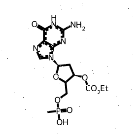 CCOC(=O)O[C@@H]1C[C@H](n2cnc3c(=O)[nH]c(N)nc32)OC1COP(C)(=O)O